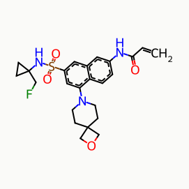 C=CC(=O)Nc1ccc2c(N3CCC4(CC3)COC4)cc(S(=O)(=O)NC3(CF)CC3)cc2c1